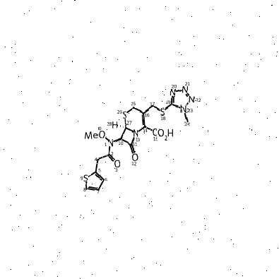 CON(C(=O)Cc1cccs1)C1C(=O)N2C(C(=O)O)=C(CSc3nnnn3C)CS[C@H]12